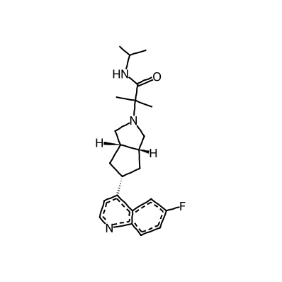 CC(C)NC(=O)C(C)(C)N1C[C@H]2C[C@@H](c3ccnc4ccc(F)cc34)C[C@H]2C1